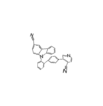 N#Cc1ccc2c(c1)c1ccccc1n2-c1ccccc1-c1ccc(-c2cnccc2C#N)cc1